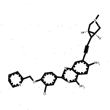 CN1C[C@@H]2C(C#Cc3cc4nc(-c5ccc(OCc6ccccn6)c(Cl)c5)nc(N)c4cc3N)[C@@H]2C1